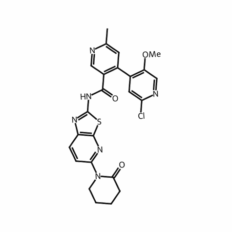 COc1cnc(Cl)cc1-c1cc(C)ncc1C(=O)Nc1nc2ccc(N3CCCCC3=O)nc2s1